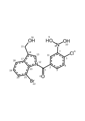 O=C(c1ccc(Cl)c(N(O)O)c1)n1cc(CO)c2cccc(Br)c21